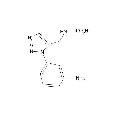 Nc1cccc(-n2nncc2CNC(=O)O)c1